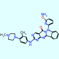 Cc1cc(Nc2ncc3c(=O)n4c(nc3n2)c2ccccc2n4-c2cccc(ON)n2)ccc1N1CCN(C)CC1